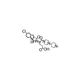 CN1CCC(N2CCN(C(=O)[C@@H](CCC(=O)O)NC(=O)c3cc4cc(Cl)ccc4[nH]3)CC2)CC1